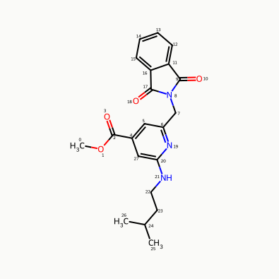 COC(=O)c1cc(CN2C(=O)c3ccccc3C2=O)nc(NCCC(C)C)c1